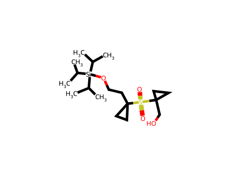 CC(C)[Si](OCCC1(S(=O)(=O)C2(CO)CC2)CC1)(C(C)C)C(C)C